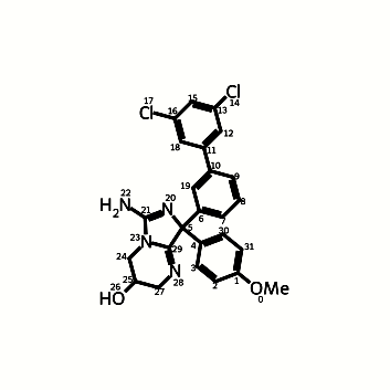 COc1ccc(C2(c3cccc(-c4cc(Cl)cc(Cl)c4)c3)N=C(N)N3CC(O)CN=C32)cc1